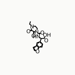 CCN1CCN(C(=O)NC(C(=O)O)c2ccc3occc3c2)C(=O)C1=O